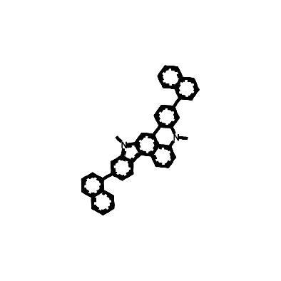 CN1c2cc(-c3cccc4ccccc34)ccc2-c2cc3c(c4cccc1c24)c1ccc(-c2cccc4ccccc24)cc1n3C